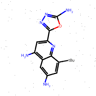 CC(C)(C)c1cc(N)cc2c(N)cc(-c3nnc(N)o3)nc12